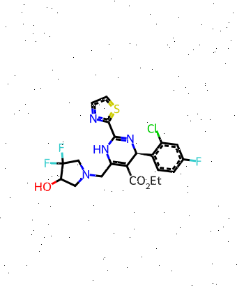 CCOC(=O)C1=C(CN2CC(O)C(F)(F)C2)NC(c2nccs2)=N[C@H]1c1ccc(F)cc1Cl